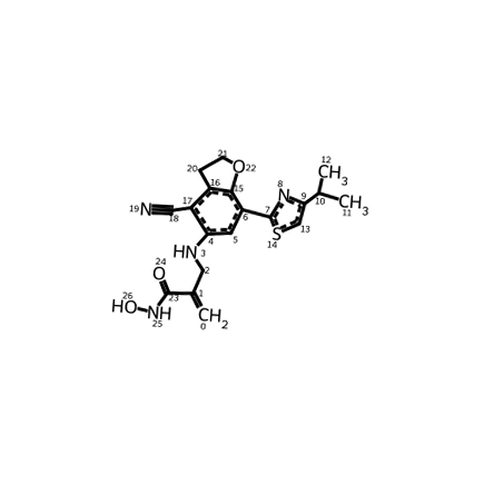 C=C(CNc1cc(-c2nc(C(C)C)cs2)c2c(c1C#N)CCO2)C(=O)NO